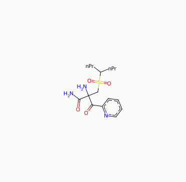 CCCC(CCC)S(=O)(=O)CC(N)(C(N)=O)C(=O)c1ccccn1